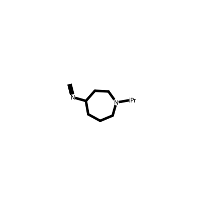 C=NC1CCCN(C(C)C)CC1